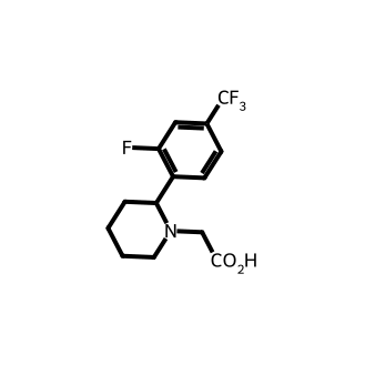 O=C(O)CN1CCCCC1c1ccc(C(F)(F)F)cc1F